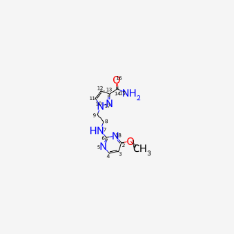 COc1ccnc(NCCn2c[c]c(C(N)=O)n2)n1